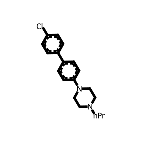 CCCN1CCN(c2ccc(-c3ccc(Cl)cc3)cc2)CC1